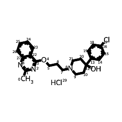 Cc1nc(OCCCN2CCC(O)(c3ccc(Cl)cc3)CC2)c2ccccc2n1.Cl